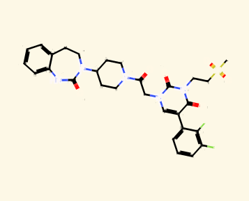 CS(=O)(=O)CCn1c(=O)c(-c2cccc(F)c2F)cn(CC(=O)N2CCC(N3CCc4ccccc4NC3=O)CC2)c1=O